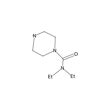 CCN(CC)C(=O)N1CC[N]CC1